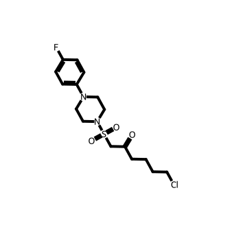 O=C(CCCCCl)CS(=O)(=O)N1CCN(c2ccc(F)cc2)CC1